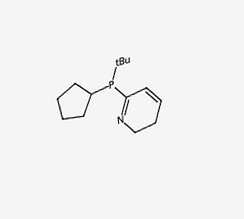 CC(C)(C)P(C1=NCCC=C1)C1CCCC1